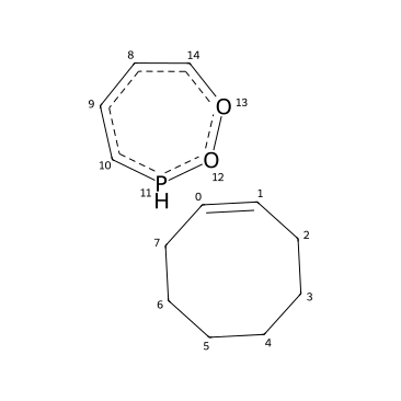 C1=CCCCCCC1.c1cc[pH]ooc1